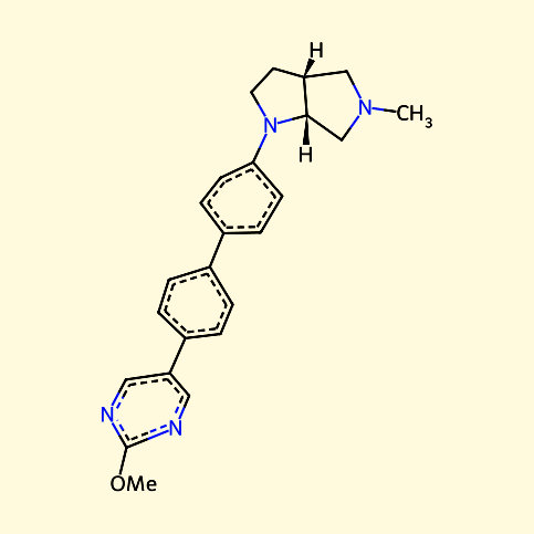 COc1ncc(-c2ccc(-c3ccc(N4CC[C@@H]5CN(C)C[C@@H]54)cc3)cc2)cn1